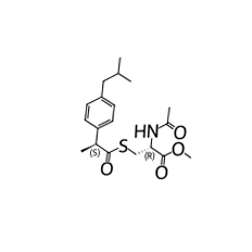 COC(=O)[C@H](CSC(=O)[C@@H](C)c1ccc(CC(C)C)cc1)NC(C)=O